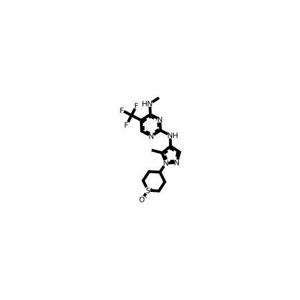 CNc1nc(Nc2cnn(C3CC[S+]([O-])CC3)c2C)ncc1C(F)(F)F